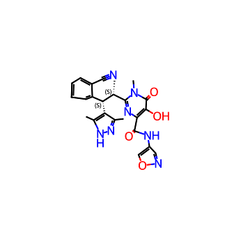 Cc1n[nH]c(C)c1[C@H](c1ccccc1C#N)[C@H](C)c1nc(C(=O)Nc2cnoc2)c(O)c(=O)n1C